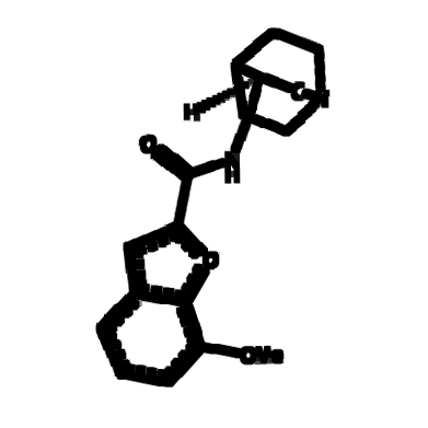 COc1cccc2cc(C(=O)N[C@@H]3CN4CCC3CC4)oc12